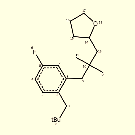 CC(C)(C)Cc1ccc(F)cc1CC(C)(C)CC1CCCO1